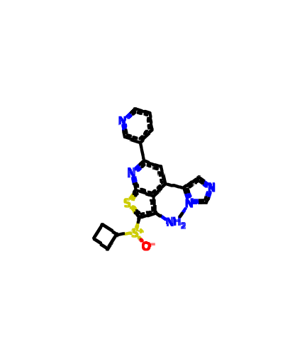 Cn1cncc1-c1cc(-c2cccnc2)nc2sc([S+]([O-])C3CCC3)c(N)c12